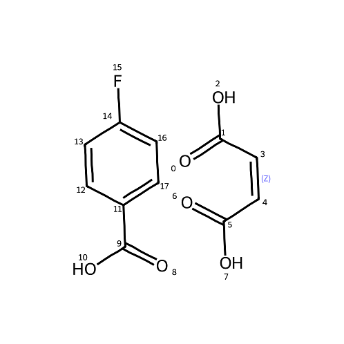 O=C(O)/C=C\C(=O)O.O=C(O)c1ccc(F)cc1